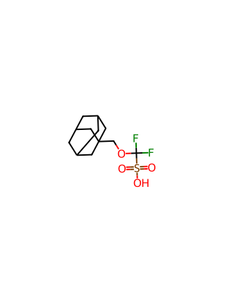 O=S(=O)(O)C(F)(F)OCC12CC3CC(CC(C3)C1)C2